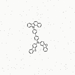 c1ccc2c(c1)ccc1c3ccccc3n(-c3ccc(-c4ccc(N(c5ccc6c(c5)sc5ccccc56)c5ccc6oc7ccccc7c6c5)cc4)cc3)c21